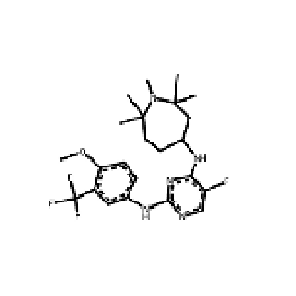 COc1ccc(Nc2ncc(F)c(NC3CCC(C)(C)N(C)C(C)(C)C3)n2)cc1C(F)(F)F